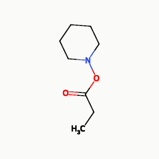 CCC(=O)ON1CCCCC1